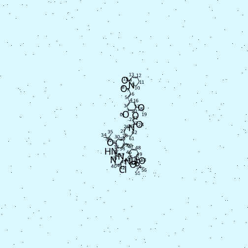 COc1cc(C=CC(=O)N2CCC=CC2=O)cc(OC)c1OCC(=O)N1CCC(c2cc(OC(C)C)c(Nc3ncc(Cl)c(Nc4ccccc4S(=O)(=O)C(C)C)n3)cc2C)CC1